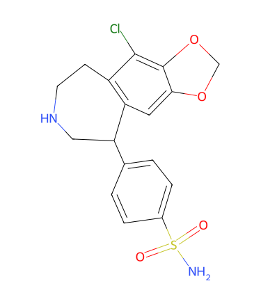 NS(=O)(=O)c1ccc(C2CNCCc3c2cc2c(c3Cl)OCO2)cc1